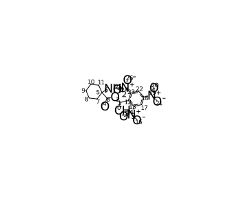 CC(OC(=O)C1(N)CCCCC1)c1c([N+](=O)[O-])cc([N+](=O)[O-])cc1[N+](=O)[O-]